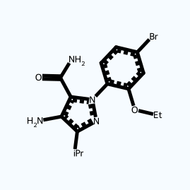 CCOc1cc(Br)ccc1-n1nc(C(C)C)c(N)c1C(N)=O